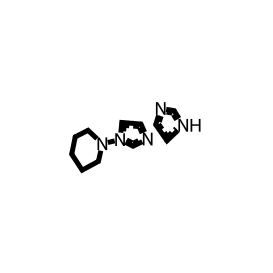 c1c[nH]cn1.c1cn(N2CCCCC2)cn1